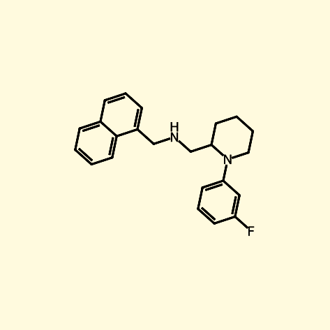 Fc1cccc(N2CCCCC2CNCc2cccc3ccccc23)c1